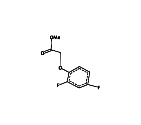 COC(=O)COc1ccc(F)cc1F